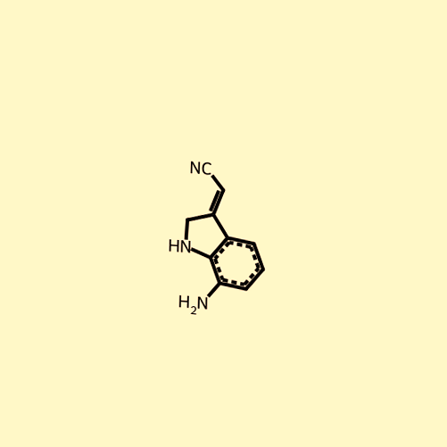 N#CC=C1CNc2c(N)cccc21